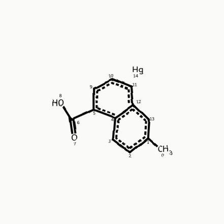 Cc1ccc2c(C(=O)O)cccc2c1.[Hg]